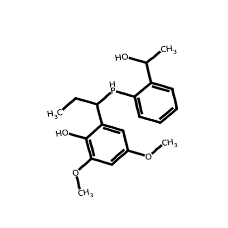 CCC(Pc1ccccc1C(C)O)c1cc(OC)cc(OC)c1O